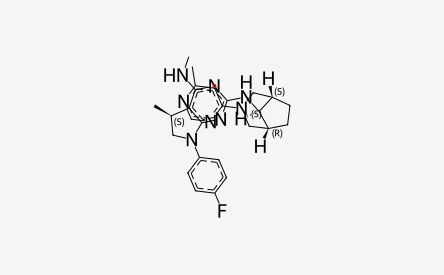 CNc1nc(N[C@@H]2[C@@H]3CC[C@H]2CN(c2cc(C)ncn2)C3)nc2c1[C@H](C)CN2c1ccc(F)cc1